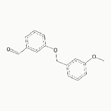 COc1cccc(COc2cccc(C=O)c2)c1